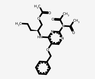 CCC[C@@H](COC(C)=O)Nc1nc(N(C(C)=O)C(C)=O)ncc1OCc1ccccc1